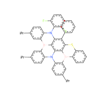 CC(C)c1ccc2c(c1)B1c3ccccc3Sc3c1c1c4c(c3-c3ccccc3)N(c3c(F)cccc3F)c3ccc(C(C)C)cc3B4c3cc(C(C)C)ccc3N21